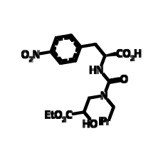 CCOC(=O)C(O)CN(CC(C)C)C(=O)N[C@@H](Cc1ccc([N+](=O)[O-])cc1)C(=O)O